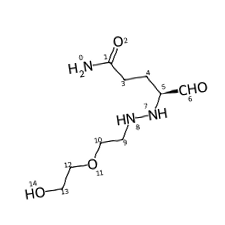 NC(=O)CC[C@@H](C=O)NNCCOCCO